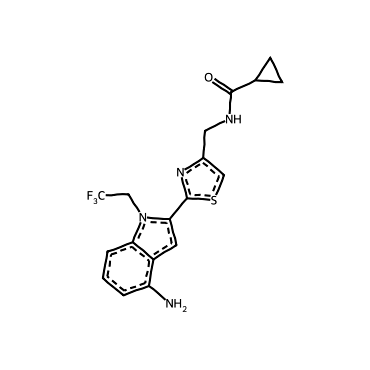 Nc1cccc2c1cc(-c1nc(CNC(=O)C3CC3)cs1)n2CC(F)(F)F